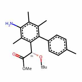 COC(=O)[C@@H](OC(C)(C)C)c1c(C)c(N)c(C)c(C)c1-c1ccc(C)cc1